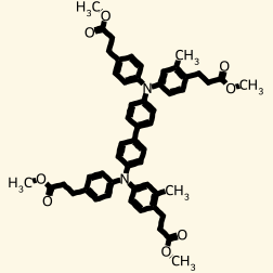 COC(=O)CCc1ccc(N(c2ccc(-c3ccc(N(c4ccc(CCC(=O)OC)cc4)c4ccc(CCC(=O)OC)c(C)c4)cc3)cc2)c2ccc(CCC(=O)OC)c(C)c2)cc1